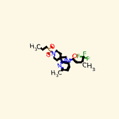 CCCS(=O)(=O)N1CCC(CNC(=O)CC(C)C(F)(F)F)(c2cccc(C)n2)CC1